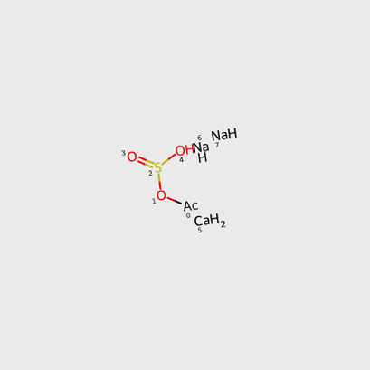 CC(=O)OS(=O)O.[CaH2].[NaH].[NaH]